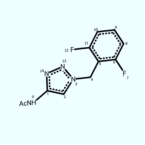 CC(=O)Nc1cn(Cc2c(F)cccc2F)nn1